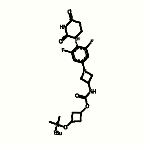 CC(C)(C)[Si](C)(C)OC1CC(OC(=O)NC2CN(c3cc(F)c([C@H]4CCC(=O)NC4=O)c(F)c3)C2)C1